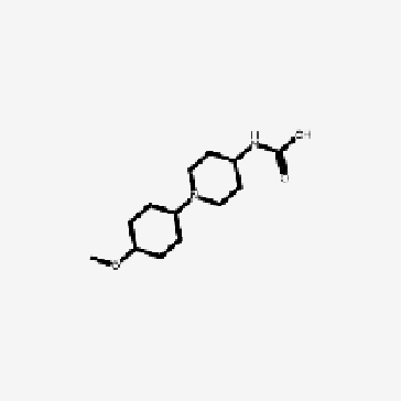 COC1CCC(N2CCC(NC(=O)O)CC2)CC1